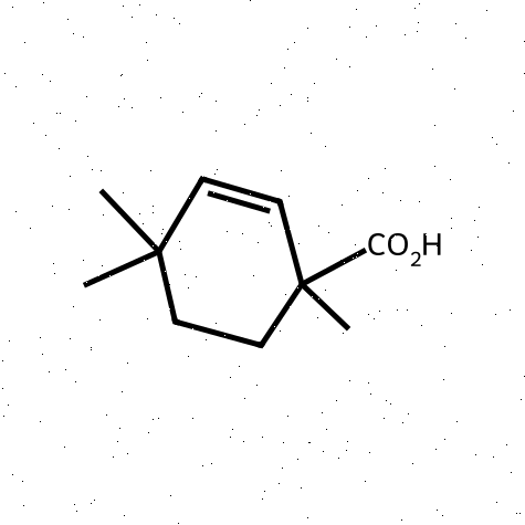 CC1(C)C=CC(C)(C(=O)O)CC1